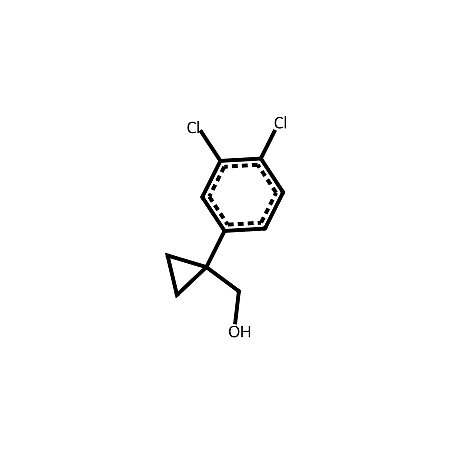 OCC1(c2ccc(Cl)c(Cl)c2)CC1